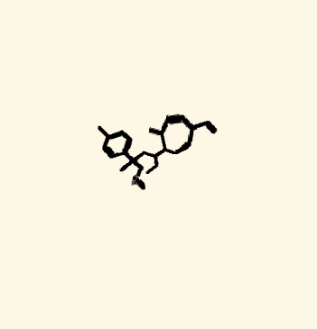 C=CC1C=CC(C)C(C(CC)CC(C)(CSC)c2ccc(C)cc2)C=C1